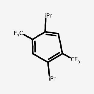 CC(C)c1cc(C(F)(F)F)c(C(C)C)cc1C(F)(F)F